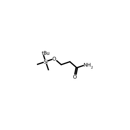 CC(C)(C)[Si](C)(C)OCCC(N)=O